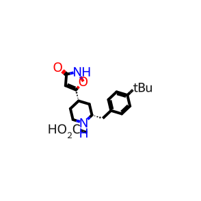 CC(=O)O.CC(C)(C)c1ccc(C[C@H]2C[C@@H](c3cc(=O)[nH]o3)CCN2)cc1